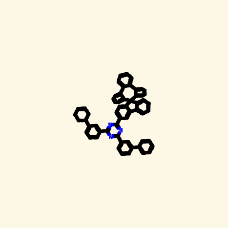 C1=CCC(c2cccc(-c3nc(-c4cccc(-c5ccccc5)c4)nc(-c4ccc5c(c4)-c4ccccc4C54c5ccccc5-c5ccccc5-c5ccccc54)n3)c2)CC1